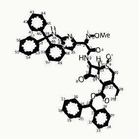 CO/N=C(\C(=O)NC1C(=O)N2C(C(=O)OC(c3ccccc3)c3ccccc3)=C(CI)C[S+]([O-])[C@@H]12)c1csc(NC(c2ccccc2)(c2ccccc2)c2ccccc2)n1